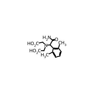 Cc1cccc(C)c1C(C(N)=O)N(CC(=O)O)CC(=O)O